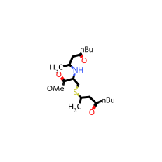 CCCCC(=O)CC(C)NC(CSC(C)CC(=O)CCCC)C(=O)OC